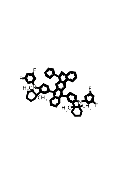 CC12CCCCC1(C)N(c1cc(F)cc(F)c1)c1ccc(-c3c4ccccc4c(-c4ccc5c(c4)C4(C)CCCCC4(C)N5c4cc(F)cc(F)c4)c4cc5c(cc34)c(-c3ccccc3)cc3ccccc35)cc12